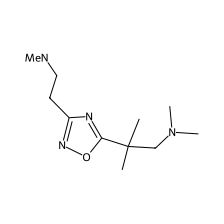 CNCCc1noc(C(C)(C)CN(C)C)n1